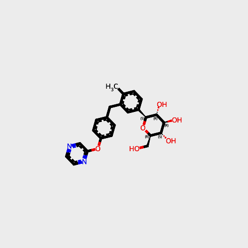 Cc1ccc([C@@H]2O[C@H](CO)[C@@H](O)[C@H](O)[C@H]2O)cc1Cc1ccc(Oc2cnccn2)cc1